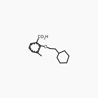 Cc1cccc(C(=O)O)c1OCCC1CCCCC1